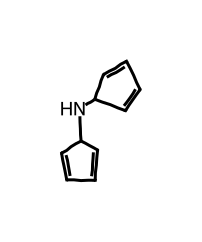 C1=CC(NC2C=CC=C2)C=C1